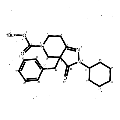 CC(C)(C)OC(=O)N1CCC2=NN(C3CCCCC3)C(=O)C2(Cc2ccccc2)C1